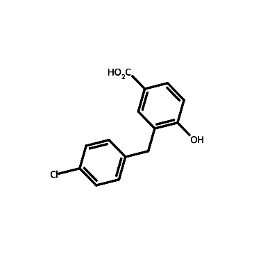 O=C(O)c1ccc(O)c(Cc2ccc(Cl)cc2)c1